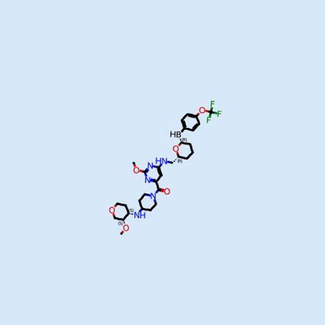 COc1nc(NC[C@H]2CCC[C@@H](Bc3ccc(OC(F)(F)F)cc3)O2)cc(C(=O)N2CCC(N[C@H]3CCOC[C@H]3OC)CC2)n1